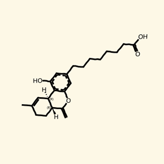 C=C1Oc2cc(CCCCCCCC(=O)O)cc(O)c2[C@@H]2C=C(C)CC[C@@H]12